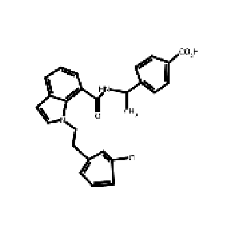 CC(NC(=O)c1cccc2ccn(CCc3cccc(Cl)c3)c12)c1ccc(C(=O)O)cc1